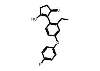 CCc1cc(Oc2ccc(F)cc2)ccc1C1=C(O)CCC1=O